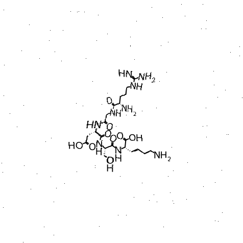 N=C(N)NCCC[C@H](N)C(=O)NCC(=O)N[C@@H](CC(=O)O)C(=O)N[C@@H](CO)C(=O)N[C@@H](CCCCN)C(=O)O